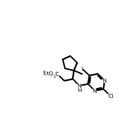 CCOC(=O)CC(Nc1nc(Cl)ncc1I)C1(C)CCCC1